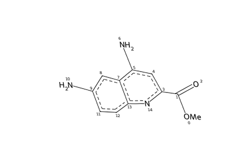 COC(=O)c1cc(N)c2cc(N)ccc2n1